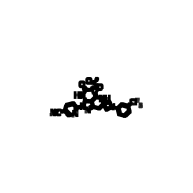 CS(=O)(=O)CC(=O)Nc1c2c(nn1-c1ccc(C#N)cn1)CC1(CN(c3cccc(C(F)(F)F)c3)C1)NC2=O